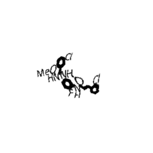 COc1ccc(Cl)cc1C(=N)Nc1ccc(F)c(NC(=O)/C=C/c2ccccc2Cl)c1